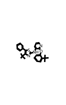 CC(C)(C)c1ccccc1Oc1ncccc1Nc1nc(C(C)(C)C)c(-c2ccccc2)s1